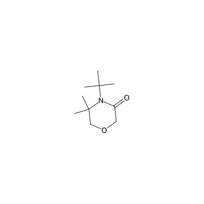 CC(C)(C)N1C(=O)COCC1(C)C